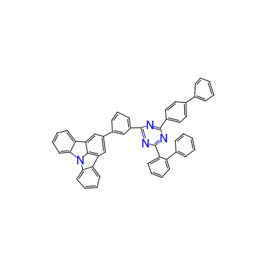 c1ccc(-c2ccc(-c3nc(-c4cccc(-c5cc6c7ccccc7n7c8ccccc8c(c5)c67)c4)nc(-c4ccccc4-c4ccccc4)n3)cc2)cc1